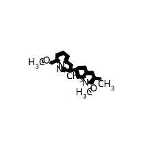 CCc1cc2ccc(C(C)(C#N)Cc3cccc(COC)n3)cc2nc1OC